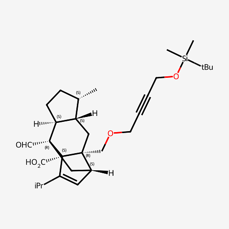 CC(C)C1=C[C@@H]2C[C@@]3(C=O)[C@H]4CC[C@H](C)[C@@H]4C[C@]2(COCC#CCO[Si](C)(C)C(C)(C)C)[C@@]13C(=O)O